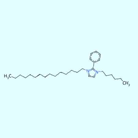 CCCCCCCCCCCCCCCn1cc[n+](CCCCCC)c1-c1ccccc1